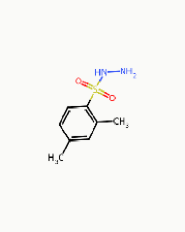 Cc1ccc(S(=O)(=O)NN)c(C)c1